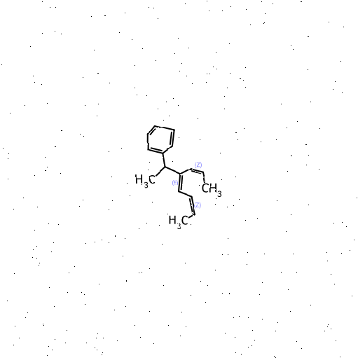 C\C=C/C=C(\C=C/C)C(C)c1ccccc1